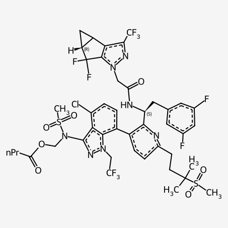 CCCC(=O)OCN(c1nn(CC(F)(F)F)c2c(-c3ccc(CCC(C)(C)S(C)(=O)=O)nc3[C@H](Cc3cc(F)cc(F)c3)NC(=O)Cn3nc(C(F)(F)F)c4c3C(F)(F)[C@@H]3CC43)ccc(Cl)c12)S(C)(=O)=O